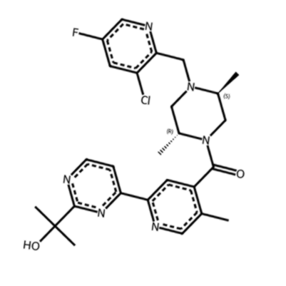 Cc1cnc(-c2ccnc(C(C)(C)O)n2)cc1C(=O)N1C[C@H](C)N(Cc2ncc(F)cc2Cl)C[C@H]1C